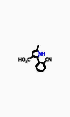 Cc1cc(C(=O)O)c(-c2ccccc2C#N)[nH]1